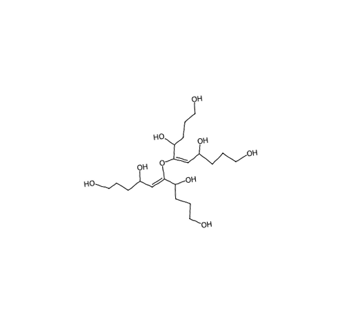 OCCCC(O)C=C(OC(=CC(O)CCCO)C(O)CCCO)C(O)CCCO